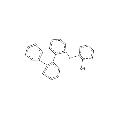 Oc1ccccc1Oc1ccccc1-c1ccccc1-c1ccccc1